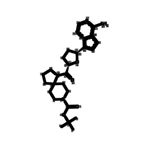 CC(C)(C)OC(=O)N1CCC2(CCCN2C(=O)[C@@H]2CC[C@H](c3ccc4c(N)ncnn34)O2)CC1